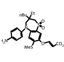 CCCCC1(CC)CN(c2ccc(N)cc2)c2cc(SC)c(OC=CC(=O)O)cc2S(=O)(=O)C1